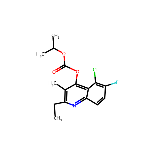 CCc1nc2ccc(F)c(Cl)c2c(OC(=O)OC(C)C)c1C